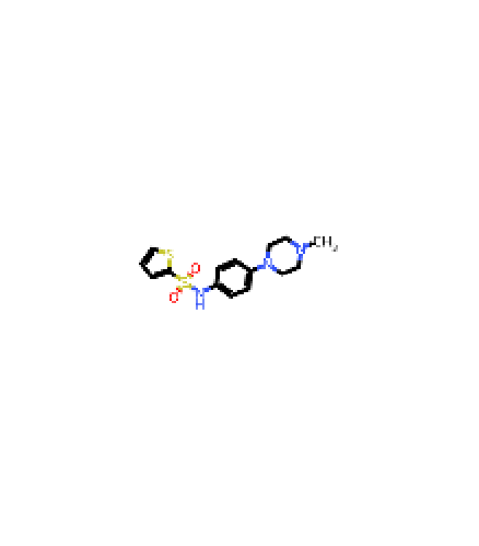 CN1CCN(c2ccc(NS(=O)(=O)c3cccs3)cc2)CC1